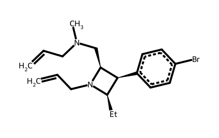 C=CCN(C)C[C@H]1[C@@H](c2ccc(Br)cc2)[C@@H](CC)N1CC=C